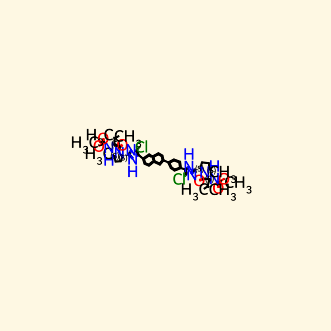 COC(=O)N[C@H](C(=O)N1[C@@H](C)CC[C@H]1c1nc(Cl)c(-c2ccc(-c3ccc4cc(-c5[nH]c([C@@H]6CC[C@H](C)N6C(=O)[C@@H](NC(=O)OC)C(C)C)nc5Cl)ccc4c3)cc2)[nH]1)C(C)C